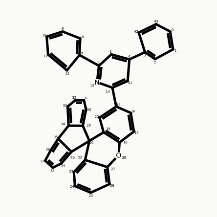 c1ccc(-c2cc(-c3ccccc3)nc(-c3ccc4c(c3)C3(c5ccccc5O4)c4ccccc4-c4ccccc43)c2)cc1